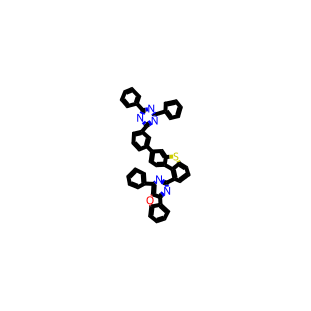 c1ccc(-c2nc(-c3ccccc3)nc(-c3cccc(-c4ccc5c(c4)sc4cccc(-c6nc(-c7ccccc7)c7oc8ccccc8c7n6)c45)c3)n2)cc1